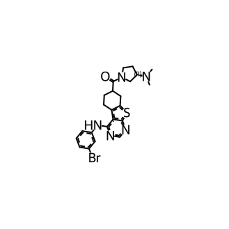 CN(C)[C@@H]1CCN(C(=O)C2CCc3c(sc4ncnc(Nc5cccc(Br)c5)c34)C2)C1